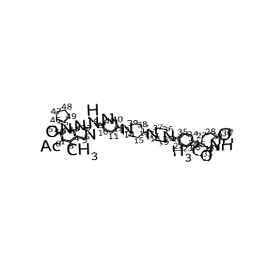 CC(=O)c1c(C)c2cnc(Nc3ccc(N4CCC(N5CCN(c6ccc(C7(C)CCC(=O)NC7=O)cc6)CC5)CC4)cn3)nc2n(C2CCCC2)c1=O